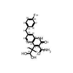 CC(C)(c1c(C(N)=O)c(=O)[nH]c2cc(Cc3ccc(F)cc3)cnc12)C(O)O